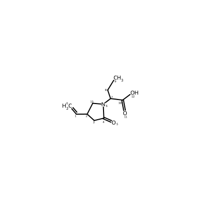 C=CC1CC(=O)N(C(CC)C(=O)O)C1